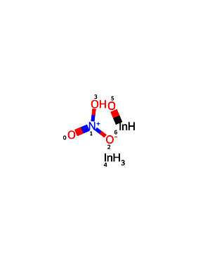 O=[N+]([O-])O.[InH3].[O]=[InH]